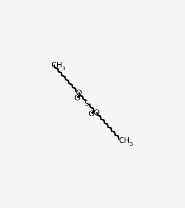 CCCCCCCCCCCCCCOC(=O)CCCSCCCC(=O)OCCCCCCCCCCCCCC